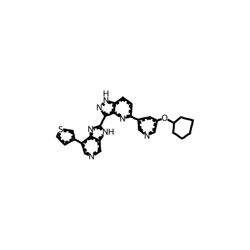 c1cc(-c2cncc3[nH]c(-c4n[nH]c5ccc(-c6cncc(OC7CCCCC7)c6)nc45)nc23)cs1